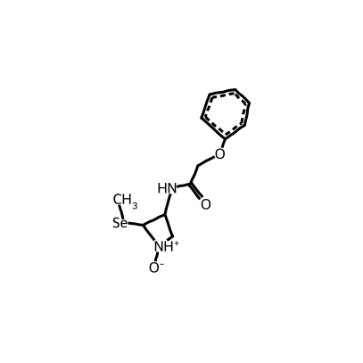 C[Se]C1C(NC(=O)COc2ccccc2)C[NH+]1[O-]